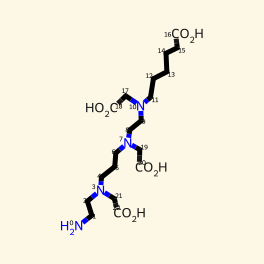 NCCN(CCCN(CCN(CCCCCC(=O)O)CC(=O)O)CC(=O)O)CC(=O)O